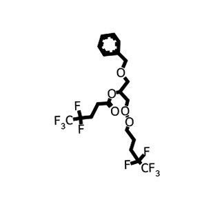 O=C(CCC(F)(F)C(F)(F)F)OC(COCc1ccccc1)COOCCCC(F)(F)C(F)(F)F